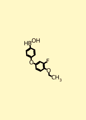 CCOc1ccc(Oc2ccc(BO)cc2)cc1F